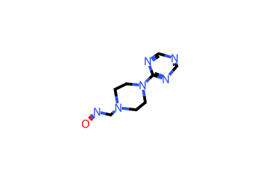 O=NCN1CCN(c2ncncn2)CC1